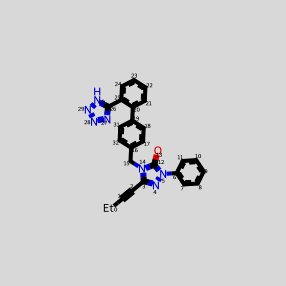 CCC#Cc1nn(-c2ccccc2)c(=O)n1Cc1ccc(-c2ccccc2-c2nnn[nH]2)cc1